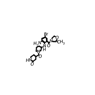 C[C@@H]1CN(C(=O)c2cc(Br)cc(N)c2N[C@@H]2CCCN(C(=O)C3CCNC(=O)C3)C2)CCO1